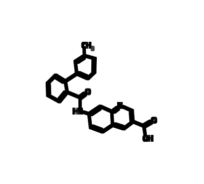 Cc1cccc(-c2ccccc2C(=O)Nc2ccc3cc(C(=O)O)cnc3c2)c1